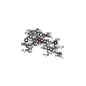 CC[C@H](C)[C@H](NC(=O)[C@@H](NC(=O)[C@H](Cc1ccc(O)cc1)NC(=O)[C@@H](NC(=O)[C@@H](NC(=O)[C@@H]1C[C@@H](O)CN1C(=O)[C@@H](N)C(C)C)[C@@H](C)CC)[C@@H](C)O)C(C)(C)S)C(=O)N[C@@H](CCCNC(=N)N)C(=O)N[C@@H](CCN)C(=O)N[C@H](C(=O)N[C@H](CCN)C(=O)N[C@@H](CCCCN)C(=O)N[C@@H](CS)C(=O)N[C@@H](CCN)C(=O)N[C@@H](CCCNC(=N)N)C(=O)N[C@@H](Cc1ccc(O)cc1)C(=O)O)[C@@H](C)O